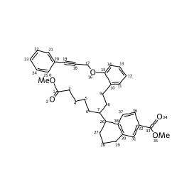 COC(=O)CCCCC(CCc1ccccc1OCC#Cc1ccccc1)C1CCCc2cc(C(=O)OC)ccc21